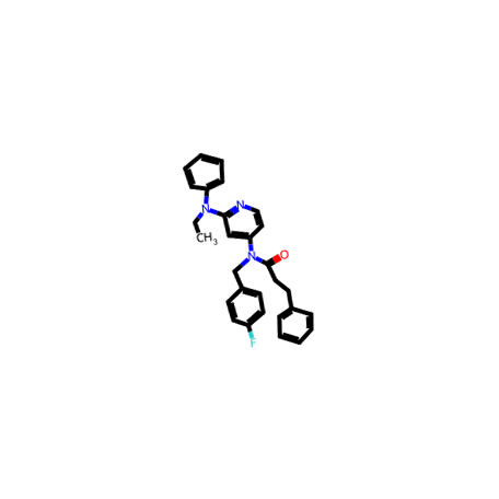 CCN(c1ccccc1)c1cc(N(Cc2ccc(F)cc2)C(=O)CCc2ccccc2)ccn1